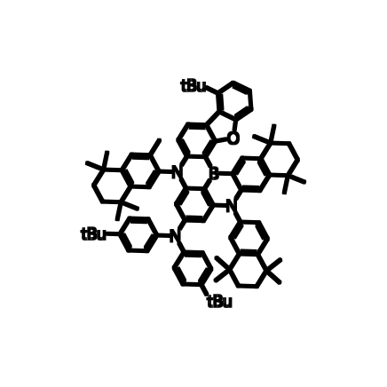 Cc1cc2c(cc1N1c3cc(N(c4ccc(C(C)(C)C)cc4)c4ccc(C(C)(C)C)cc4)cc4c3B(c3cc5c(cc3N4c3ccc4c(c3)C(C)(C)CCC4(C)C)C(C)(C)CCC5(C)C)c3c1ccc1c3oc3cccc(C(C)(C)C)c31)C(C)(C)CCC2(C)C